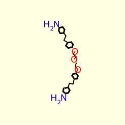 Nc1ccc(CCc2ccc(OCCOCCOc3ccc(CCc4ccc(N)cc4)cc3)cc2)cc1